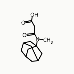 CN(C(=O)CC(=O)O)C12CC3CC(CC(C3)C1)C2